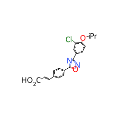 CC(C)Oc1ccc(-c2noc(-c3ccc(C=CC(=O)O)cc3)n2)cc1Cl